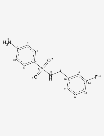 Nc1ccc(S(=O)(=O)NCc2cccc(F)c2)cc1